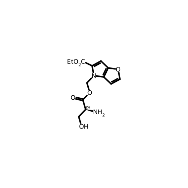 CCOC(=O)c1cc2occc2n1COC(=O)[C@@H](N)CO